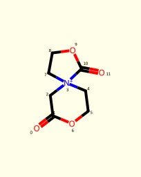 O=C1C[N+]2(CCO1)CCOC2=O